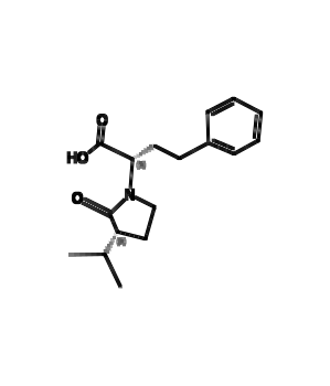 CC(C)[C@H]1CCN([C@@H](CCc2ccccc2)C(=O)O)C1=O